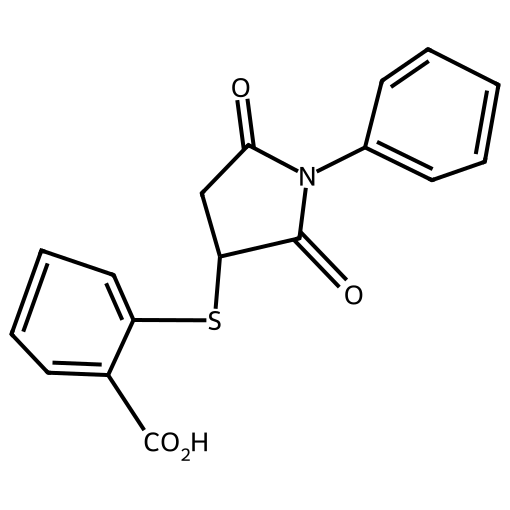 O=C(O)c1ccccc1SC1CC(=O)N(c2ccccc2)C1=O